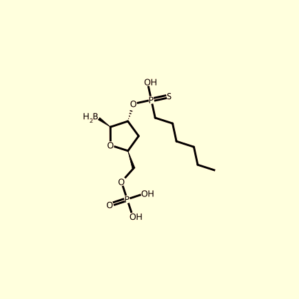 B[C@@H]1O[C@H](COP(=O)(O)O)C[C@H]1OP(O)(=S)CCCCCC